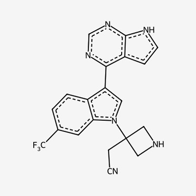 N#CCC1(n2cc(-c3ncnc4[nH]ccc34)c3ccc(C(F)(F)F)cc32)CNC1